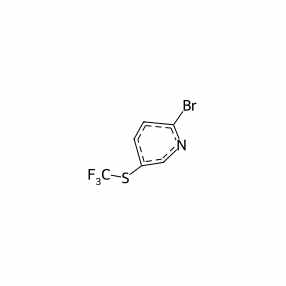 FC(F)(F)Sc1ccc(Br)nc1